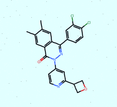 Cc1cc2c(-c3ccc(Cl)c(Cl)c3)nn(-c3ccnc(C4COC4)c3)c(=O)c2cc1C